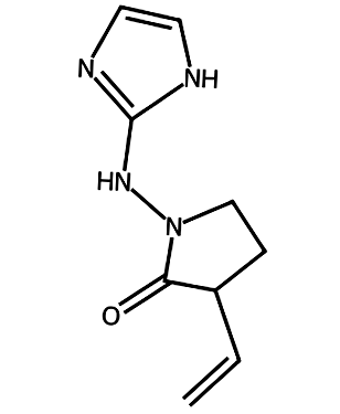 C=CC1CCN(Nc2ncc[nH]2)C1=O